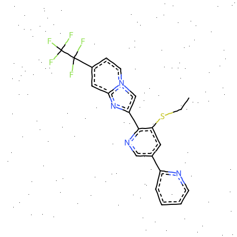 CCSc1cc(-c2ccccn2)cnc1-c1cn2ccc(C(F)(F)C(F)(F)F)cc2n1